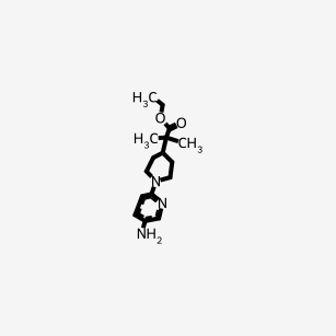 CCOC(=O)C(C)(C)C1CCN(c2ccc(N)cn2)CC1